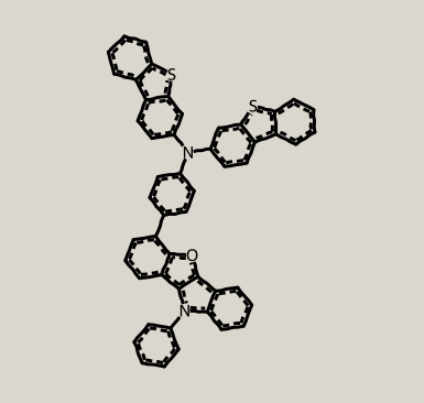 c1ccc(-n2c3ccccc3c3oc4c(-c5ccc(N(c6ccc7c(c6)sc6ccccc67)c6ccc7c(c6)sc6ccccc67)cc5)cccc4c32)cc1